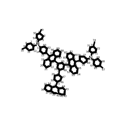 Cc1ccc(N(c2ccc(C)cc2)c2ccc(-c3c4ccccc4c(-c4cc(-c5ccc(-c6c7ccccc7cc7ccccc67)cc5)cc(-c5c6ccccc6c(-c6ccc(N(c7ccc(C)cc7)c7ccc(C)cc7)cc6)c6ccccc56)c4)c4ccccc34)cc2)cc1